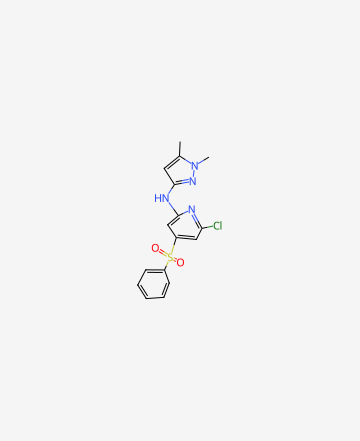 Cc1cc(Nc2cc(S(=O)(=O)c3ccccc3)cc(Cl)n2)nn1C